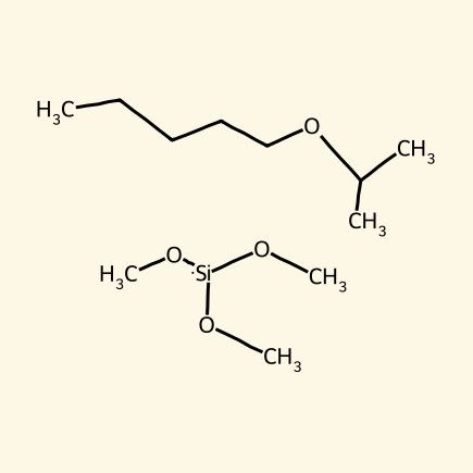 CCCCCOC(C)C.CO[Si](OC)OC